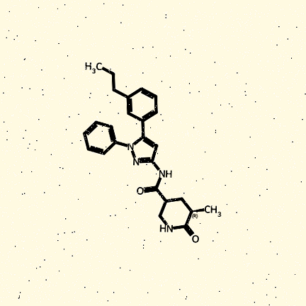 CCCc1cccc(-c2cc(NC(=O)C3CNC(=O)[C@H](C)C3)nn2-c2ccccc2)c1